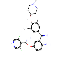 Cc1cc(C(=N)c2cc(O[C@H](N)c3c(Cl)cncc3Cl)ccc2N)cc(C#N)c1OC1CCN(C(C)C)CC1